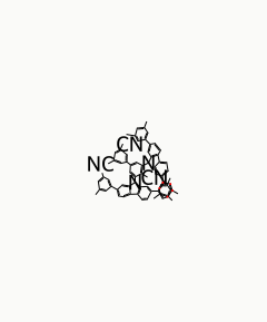 Cc1cc(C)cc(-c2ccc3c4ccc(-c5cc(C)cc(C)c5)cc4n(-c4cc(-c5cc(C#N)cc(C#N)c5)cc(-n5c6cc(-c7cc(C)cc(C)c7)ccc6c6ccc(-c7cc(C)cc(C)c7)cc65)c4C#N)c3c2)c1